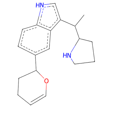 CC(c1c[nH]c2ccc(C3CCC=CO3)cc12)C1CCCN1